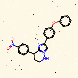 O=[N+]([O-])c1ccc(C2CCNn3cc(-c4ccc(Oc5ccccc5)cc4)nc32)cc1